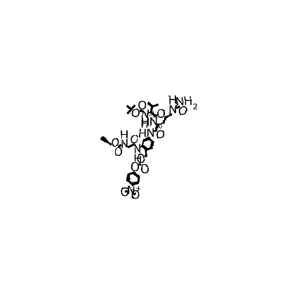 C#CCOC(=O)NCC(=O)Nc1cc(NC(=O)[C@H](CCCNC(N)=O)NC(=O)[C@@H](NC(=O)OC(C)(C)C)C(C)C)ccc1COC(=O)Oc1ccc([N+](=O)[O-])cc1